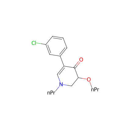 CCCOC1CN(CCC)C=C(c2cccc(Cl)c2)C1=O